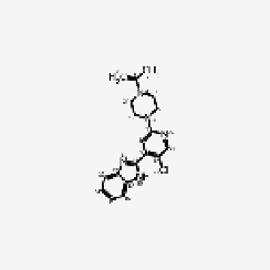 C=C(C)N1CCN(c2cc(-c3nc4ccccc4[nH]3)c(Cl)cn2)CC1